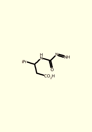 CC(C)C(CC(=O)O)NC(=O)N=N